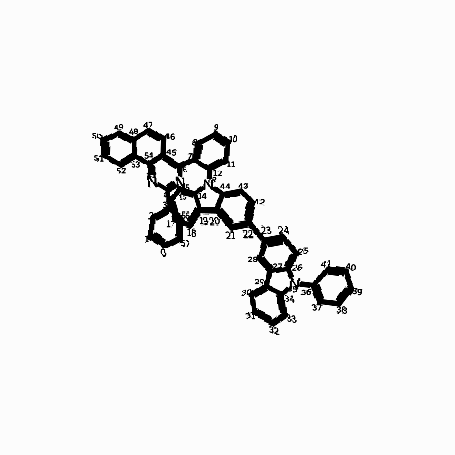 c1ccc(-c2nc(-c3ccccc3-n3c4ccccc4c4cc(-c5ccc6c(c5)c5ccccc5n6-c5ccccc5)ccc43)c3ccc4ccccc4c3n2)cc1